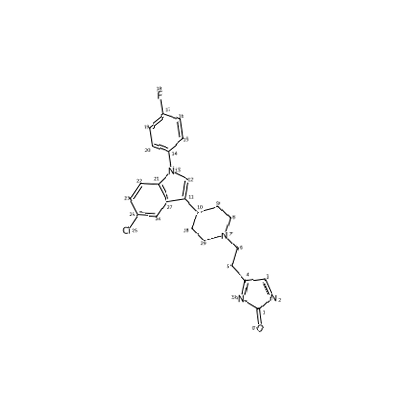 O=C1N=CC(CCN2CCC(c3cn(-c4ccc(F)cc4)c4ccc(Cl)cc34)CC2)=N1